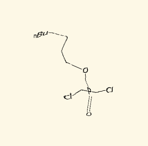 CCCCCCOP(=O)(Cl)Cl